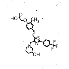 Cc1cc(SCc2sc(-c3ccc(C(F)(F)F)cc3)nc2CN2CCCC(O)C2)ccc1OCC(=O)O